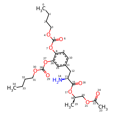 CCCCOC(=O)Oc1ccc(C[C@H](N)C(=O)O[C@H](C)COC(C)=O)cc1OC(=O)OCCCC